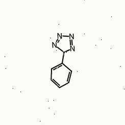 c1ccc([C]2N=NN=N2)cc1